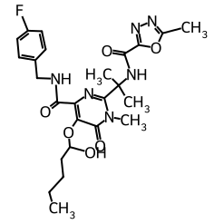 CCCCC(O)Oc1c(C(=O)NCc2ccc(F)cc2)nc(C(C)(C)NC(=O)c2nnc(C)o2)n(C)c1=O